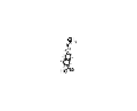 CCCCCc1ccc2cc(C(=O)O)ccc2c1